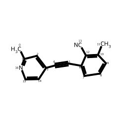 Cc1cc(C#Cc2cccc(C)c2C#N)ccn1